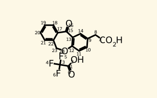 O=C(O)C(F)(F)F.O=C(O)Cc1ccc2c(c1)C(=O)c1ccccc1CO2